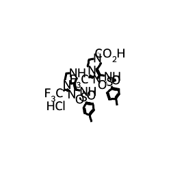 Cc1ccc(S(=O)(=O)Nc2nc(C(F)(F)F)n3c2CN(C(=O)O)CC3)cc1.Cc1ccc(S(=O)(=O)Nc2nc(C(F)(F)F)n3c2CNCC3)cc1.Cl